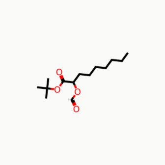 CCCCCCCC(O[C]=O)C(=O)OC(C)(C)C